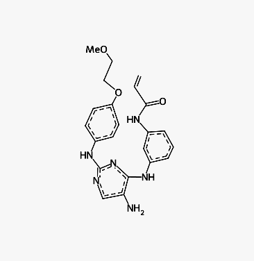 C=CC(=O)Nc1cccc(Nc2nc(Nc3ccc(OCCOC)cc3)ncc2N)c1